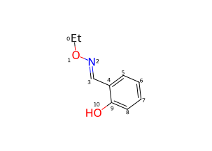 CCON=Cc1ccccc1O